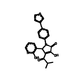 CC(C)C(=O)C1=C(O)C(=O)N(c2ccc(-c3ccsc3)cc2)C1c1cccnc1O